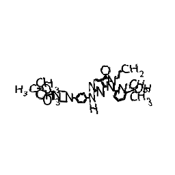 C=CCn1c(=O)c2cnc(Nc3ccc(N4CCN(C(=O)OC(C)(C)C)CC4)cc3)nc2n1-c1cccc(C(C)(C)O)n1